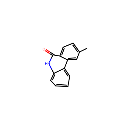 Cc1ccc2c(=O)[nH]c3ccccc3c2c1